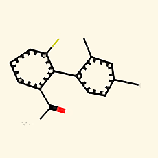 CCc1ccc(-c2c(S)cccc2C(=O)OC)c(C=O)c1